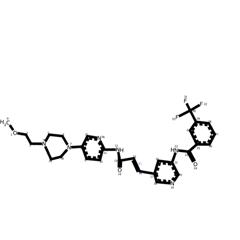 COCCN1CCN(c2ccc(NC(=O)/C=C/c3cncc(NC(=O)c4cccc(C(F)(F)F)c4)c3)nc2)CC1